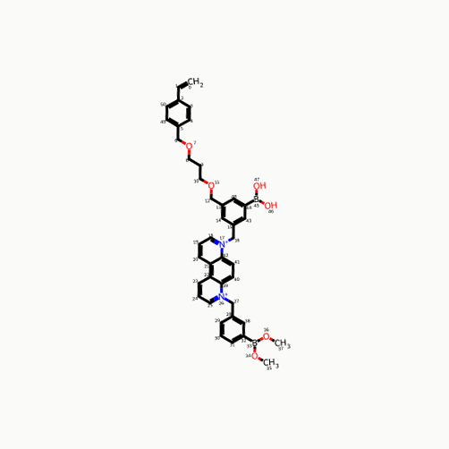 C=Cc1ccc(COCCCOCc2cc(C[n+]3cccc4c5ccc[n+](Cc6cccc(B(OC)OC)c6)c5ccc43)cc(B(O)O)c2)cc1